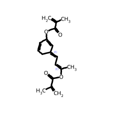 C=C(C)C(=O)OC1=C/C(=C/C=C(\C)OC(=O)C(=C)C)CC=C1